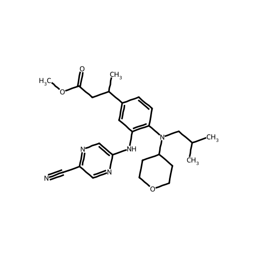 COC(=O)CC(C)c1ccc(N(CC(C)C)C2CCOCC2)c(Nc2cnc(C#N)cn2)c1